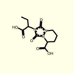 CCC(C(=O)O)n1c(=O)n2n(c1=O)C(C(=O)O)CCC2